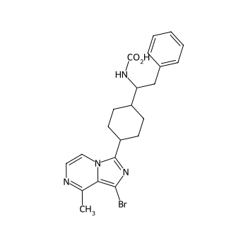 Cc1nccn2c(C3CCC(C(Cc4ccccc4)NC(=O)O)CC3)nc(Br)c12